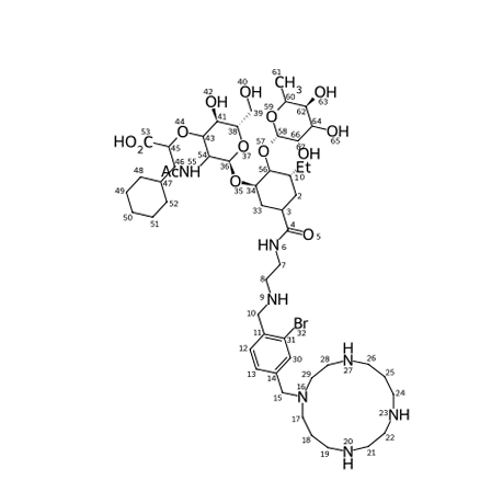 CC[C@@H]1CC(C(=O)NCCNCc2ccc(CN3CCCNCCNCCCNCC3)cc2Br)C[C@@H](O[C@@H]2O[C@@H](CO)[C@H](O)C(OC(CC3CCCCC3)C(=O)O)C2NC(C)=O)C1O[C@@H]1OC(C)[C@@H](O)C(O)[C@@H]1O